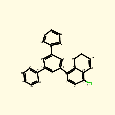 Clc1ccc(-c2cc(-c3ccccc3)cc(-c3ccccc3)c2)c2c1C=CCC2